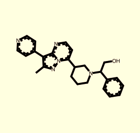 Cc1nn2c(C3CCCN(C(CO)c4ccccc4)C3)ccnc2c1-c1ccncc1